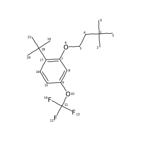 CC(C)(C)CCOc1cc(OC(F)(F)F)ccc1C(C)(C)C